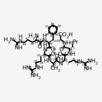 CC(C)C[C@H](NC(=O)[C@H](CCCNC(=N)N)NC(=O)[C@H](C)NC(=O)[C@H](CCCNC(=N)N)NC(=O)[C@H](Cc1ccccc1)NC(=O)[C@@H](N)CCCNC(=N)N)C(=O)NCC(=O)O